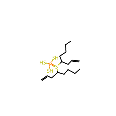 C=CCC(CCCC)S(C(CC=C)CCCC)=P(S)(S)S